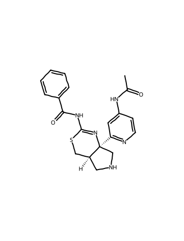 CC(=O)Nc1ccnc([C@]23CNC[C@H]2CSC(NC(=O)c2ccccc2)=N3)c1